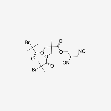 CC(C)(Br)C(=O)OCC(C)(COC(=O)C(C)(C)Br)C(=O)OCC(CN=O)N=O